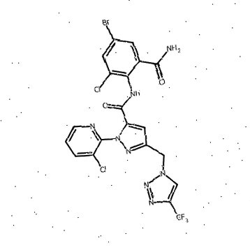 NC(=O)c1cc(Br)cc(Cl)c1NC(=O)c1cc(Cn2cc(C(F)(F)F)nn2)nn1-c1ncccc1Cl